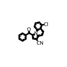 N#Cc1cc(C(=O)c2ccccc2)n2c1ccc1c(Cl)cccc12